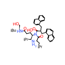 CC[C@H](C)[C@@H](CO)NC(=O)C[C@H](O)[C@H](CC(C)C)N(C(=O)C(Cc1cccc2ccccc12)Cc1cccc2ccccc12)C(=O)[C@@H](N)CC(C)C